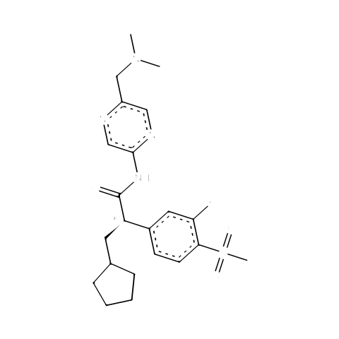 CN(C)Cc1cnc(NC(=O)[C@H](CC2CCCC2)c2ccc(S(C)(=O)=O)c(Cl)c2)cn1